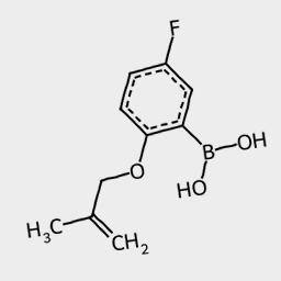 C=C(C)COc1ccc(F)cc1B(O)O